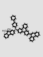 CC1(C)c2ccccc2-c2ccc(N(c3ccc(-c4ccccc4)cc3)c3ccc4c5ccc(-c6cc7ccccc7c7ccccc67)cc5c5ccccc5c4c3)cc21